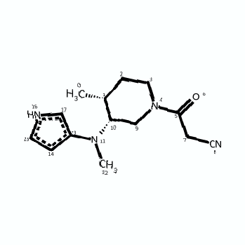 C[C@@H]1CCN(C(=O)CC#N)C[C@@H]1N(C)c1cc[nH]c1